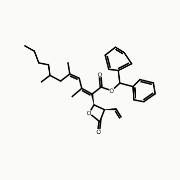 C=C[C@H]1C(=O)O[C@H]1C(C(=O)OC(c1ccccc1)c1ccccc1)=C(C)C=C(C)CC(C)CCCC